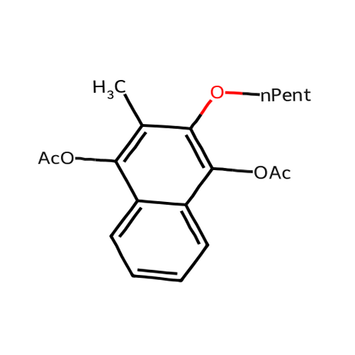 CCCCCOc1c(C)c(OC(C)=O)c2ccccc2c1OC(C)=O